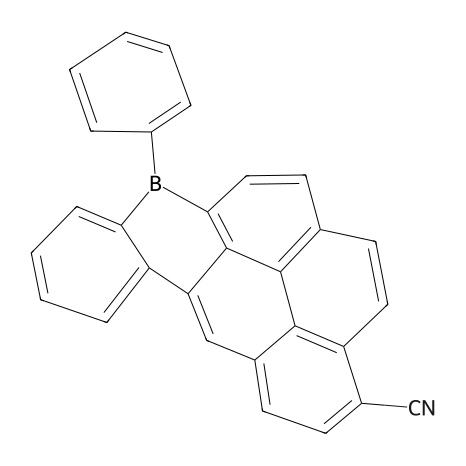 N#Cc1ccc2cc3c4c(ccc5ccc1c2c54)B(c1ccccc1)c1ccccc1-3